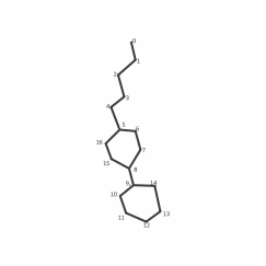 CCCCCC1CCC([C]2CCCCC2)CC1